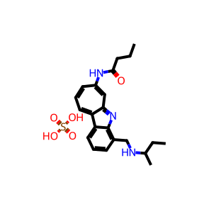 CCCC(=O)Nc1cccc2c3cccc(CNC(C)CC)c3nc-2c1.O=S(=O)(O)O